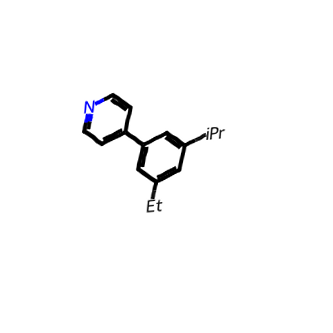 CCc1cc(-c2ccncc2)cc(C(C)C)c1